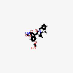 C[C@@H](C1CC1)N(Cc1ccccc1)C(=O)CC1CC2(OC(=O)NC2=O)c2ccc(OCCO)cc21